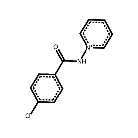 O=C(N[n+]1ccccc1)c1ccc(Cl)cc1